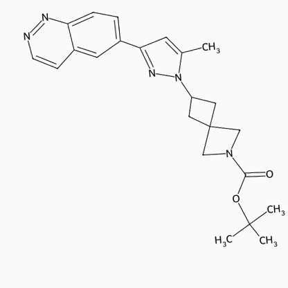 Cc1cc(-c2ccc3nnccc3c2)nn1C1CC2(C1)CN(C(=O)OC(C)(C)C)C2